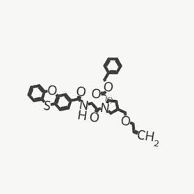 C=CCOCC1C[C@@H](C(=O)OCc2ccccc2)N(C(=O)CNC(=O)c2ccc3c(c2)Oc2ccccc2S3)C1